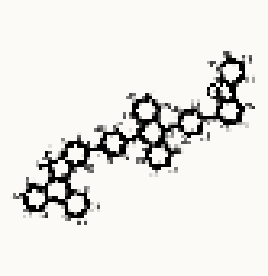 CC1(C)c2ccc(-c3ccc(-c4c5ccccc5c(-c5ccc(-c6cccc7c6oc6ccccc67)cc5)c5ccccc45)cc3)cc2-c2c1c1ccccc1c1ccccc21